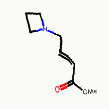 COC(=O)/C=C/CN1CCC1